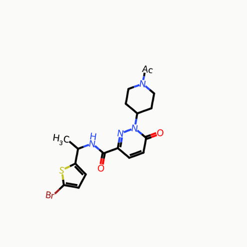 CC(=O)N1CCC(n2nc(C(=O)NC(C)c3ccc(Br)s3)ccc2=O)CC1